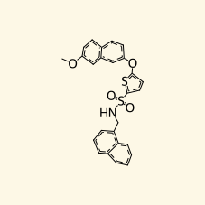 COc1ccc2ccc(Oc3ccc(S(=O)(=O)NCc4cccc5ccccc45)s3)cc2c1